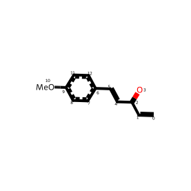 C=CC(=O)C=Cc1ccc(OC)cc1